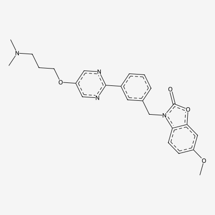 COc1ccc2c(c1)oc(=O)n2Cc1cccc(-c2ncc(OCCCN(C)C)cn2)c1